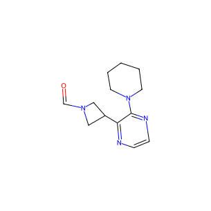 O=CN1CC(c2nccnc2N2CCCCC2)C1